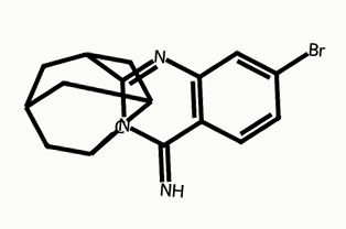 N=c1c2ccc(Br)cc2nc2n1C1CC3CC(CC2C3)C1